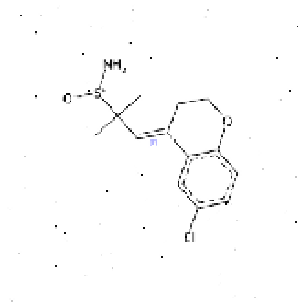 CC(C)(/C=C1\CCOc2ccc(Cl)cc21)[S+](N)[O-]